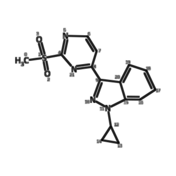 CS(=O)(=O)c1nccc(-c2nn(C3CC3)c3ccccc23)n1